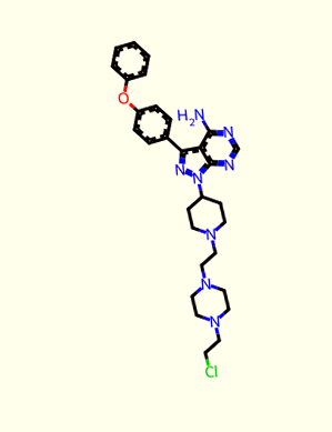 Nc1ncnc2c1c(-c1ccc(Oc3ccccc3)cc1)nn2C1CCN(CCN2CCN(CCCl)CC2)CC1